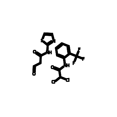 O=C(Nc1ccccc1C(F)(F)F)C(Cl)Cl.O=CCC(=O)Nc1nccs1